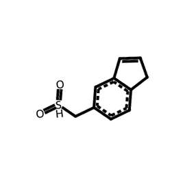 O=[SH](=O)Cc1ccc2c(c1)C=CC2